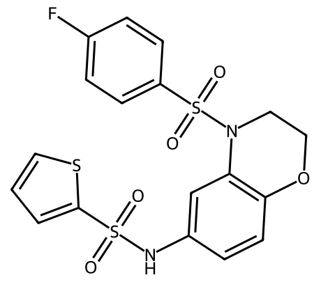 O=S(=O)(Nc1ccc2c(c1)N(S(=O)(=O)c1ccc(F)cc1)CCO2)c1cccs1